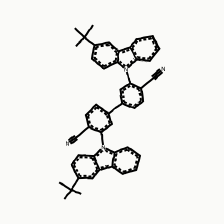 CC(C)(C)c1ccc2c(c1)c1ccccc1n2-c1cc(-c2ccc(C#N)c(-n3c4ccccc4c4cc(C(C)(C)C)ccc43)c2)ccc1C#N